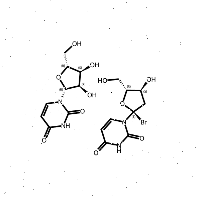 O=c1ccn([C@@H]2O[C@H](CO)[C@@H](O)[C@H]2O)c(=O)[nH]1.O=c1ccn([C@@]2(Br)C[C@H](O)[C@@H](CO)O2)c(=O)[nH]1